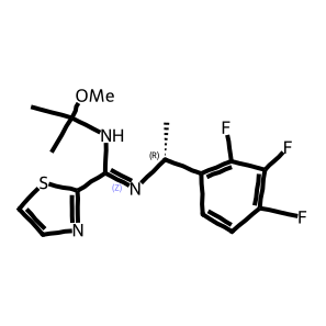 COC(C)(C)N/C(=N\[C@H](C)c1ccc(F)c(F)c1F)c1nccs1